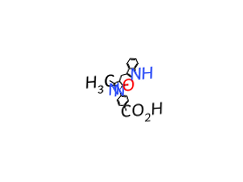 CC1=NN(c2ccc(C(=O)O)cc2)C(=O)C1Cc1c[nH]c2ccccc12